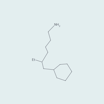 CCC(CCCCN)CC1CCCCC1